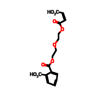 O=C(O)/C=C\C(=O)OCCOCCOC(=O)c1ccccc1C(=O)O